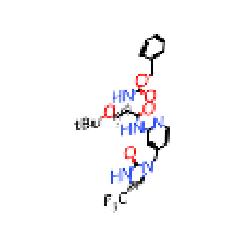 C[C@H](OC(C)(C)C)[C@H](NC(=O)OCc1ccccc1)C(=O)Nc1cc(CN2C[C@@H](C(F)(F)F)NC2=O)ccn1